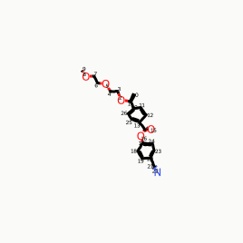 C=C(OCCOCCOC)c1ccc(C(=O)Oc2ccc(C#N)cc2)cc1